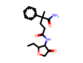 CCC1OCC(=O)C1NC(=O)[CH]CC(C)(C(N)=O)c1ccccc1